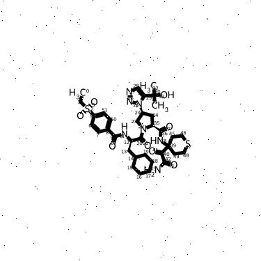 CCS(=O)(=O)c1ccc(C(=O)N[C@H](CC2CCCCC2)C(=O)N2C[C@@H](n3nncc3C(C)(C)O)C[C@H]2C(=O)NC2(C(=O)C(N)=O)CCSCC2)cc1